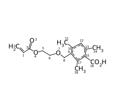 C=CC(=O)OCCOCc1c(C)cc(C)c(C(=O)O)c1C